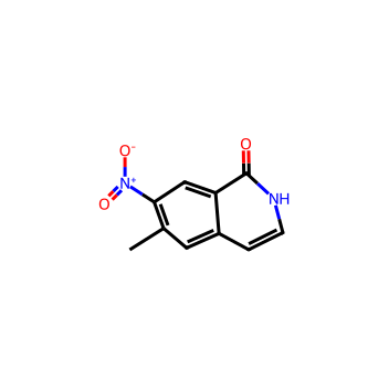 Cc1cc2cc[nH]c(=O)c2cc1[N+](=O)[O-]